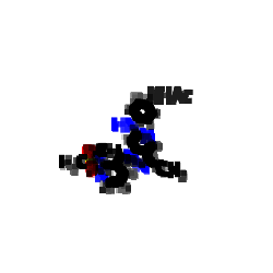 CC(=O)Nc1ccc(Nc2cc3c(cn2)c(C)nn3Cc2cccnc2N(C)S(C)(=O)=O)cc1